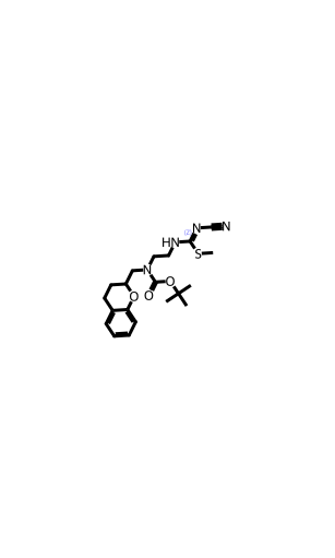 CS/C(=N\C#N)NCCN(CC1CCc2ccccc2O1)C(=O)OC(C)(C)C